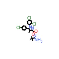 Cc1c(C(=O)O/N=C(/N)C(C)(C)C)nn(-c2ccc(Cl)cc2Cl)c1-c1ccc(Cl)cc1